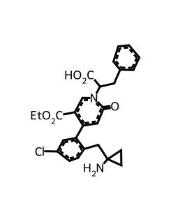 CCOC(=O)c1cn(C(Cc2ccccc2)C(=O)O)c(=O)cc1-c1cc(Cl)ccc1CC1(N)CC1